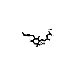 CCC#CCC1=C(C)[C@](O)(C=CC(C)=CC(=O)OC)C(C)(C)CC1=O